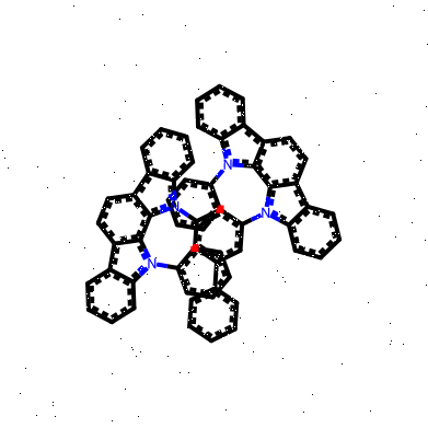 c1ccc(-c2cc(-n3c4ccccc4c4ccc5c6ccccc6n(-c6ccccc6)c5c43)cc(-n3c4ccccc4c4ccc5c6ccccc6n(-c6ccccc6)c5c43)c2)cc1